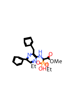 CCO[PH](O)(OCC)C(Nc1ncc(-c2ccccc2)nc1Cc1ccccc1)C(=O)OC